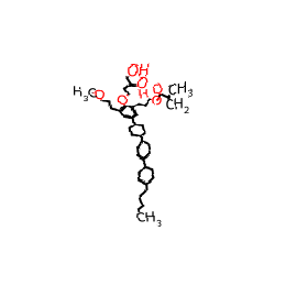 C=C(C)C(=O)OCCCc1cc(C2CCC(C3CCC(C4CCC(CCCCC)CC4)CC3)CC2)cc(CCCOC)c1OCCC(CO)CO